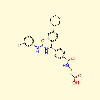 O=C(O)CCNC(=O)c1ccc(C(NC(=O)Nc2cccc(I)c2)c2ccc(C3CCCCC3)cc2)cc1